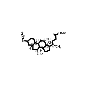 COC(=O)CC[C@@H](C)[C@H]1CC[C@H]2C3C(C[C@H](O)[C@]12C)[C@@]1(C)CCC(N=[N+]=[N-])C[C@H]1C[C@H]3OC(C)=O